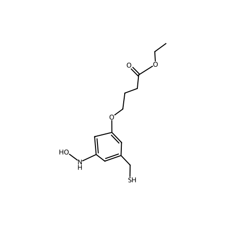 CCOC(=O)CCCOc1cc(CS)cc(NO)c1